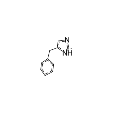 [c]1ncc(Cc2ccccc2)[nH]1